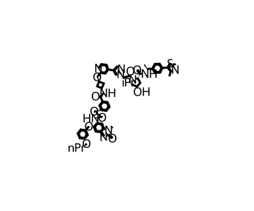 CCCOc1cccc(Oc2cc3c(cc2NS(=O)(=O)c2cccc(C(=O)N[C@H]4C[C@H](Oc5cc(-c6cnn([C@H](C(=O)N7C[C@H](O)C[C@H]7C(=O)N[C@@H](C)c7ccc(-c8scnc8C)cc7)C(C)C)c6)ccn5)C4)c2)n(C)c(=O)n3C)c1